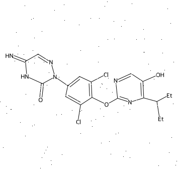 CCC(CC)c1nc(Oc2c(Cl)cc(-n3ncc(=N)[nH]c3=O)cc2Cl)ncc1O